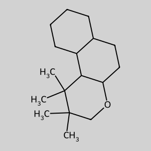 CC1(C)COC2CCC3CCCCC3C2C1(C)C